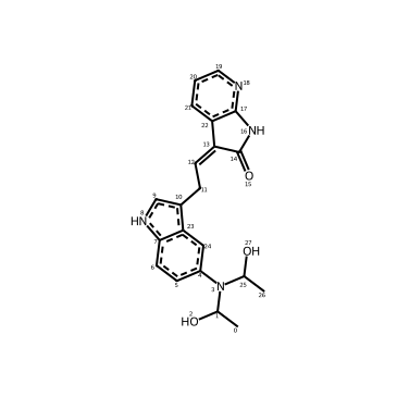 CC(O)N(c1ccc2[nH]cc(CC=C3C(=O)Nc4ncccc43)c2c1)C(C)O